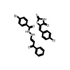 CCc1ccc(/C=C2/SC(=S)NC2=O)cc1.O=C(/C=C/NNC(=O)c1ccc(Br)cc1)c1ccccc1